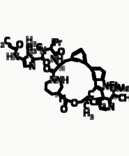 C=CC(=O)Nc1cnc(C(=O)N(C)C(C(=O)N[C@H]2Cc3cccc(c3)-c3ccc4c(c3)c(c(-c3cccnc3[C@H](C)OC)n4CC)CC(C)(C)COC(=O)[C@@H]3CCCN(NC3)C2=O)C(C)C)n1C